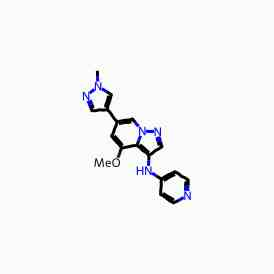 COc1cc(-c2cnn(C)c2)cn2ncc(Nc3ccncc3)c12